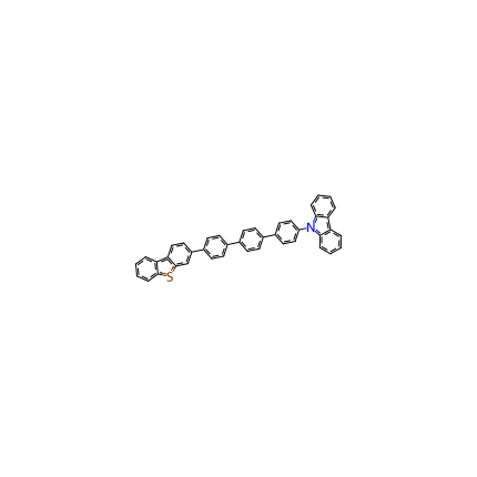 c1ccc2c(c1)sc1cc(-c3ccc(-c4ccc(-c5ccc(-n6c7ccccc7c7ccccc76)cc5)cc4)cc3)ccc12